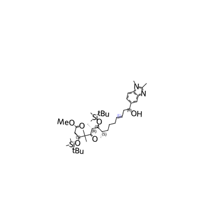 COC(=O)C[C@H](O[Si](C)(C)C(C)(C)C)C(C)(C)C(=O)[C@H](C)[C@@H](O[Si](C)(C)C(C)(C)C)[C@@H](C)CCC/C=C/C[C@@H](O)c1ccc2c(c1)nc(C)n2C